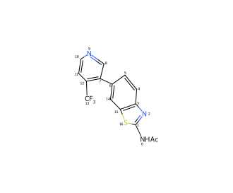 CC(=O)Nc1nc2ccc(-c3cnccc3C(F)(F)F)cc2s1